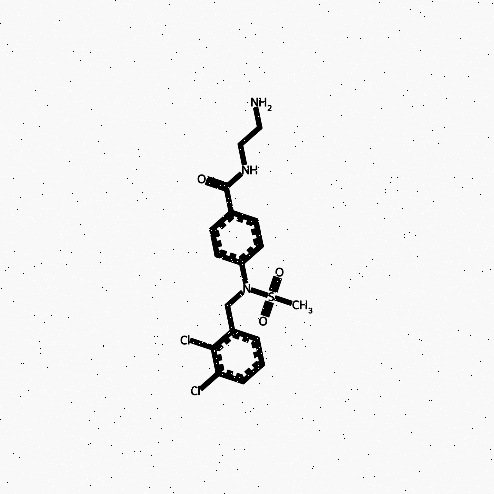 CS(=O)(=O)N(Cc1cccc(Cl)c1Cl)c1ccc(C(=O)NCCN)cc1